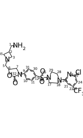 NCC1CN(CC2CN(c3ccc(S(=O)(=O)N4CCN(c5cc(C(F)(F)F)cc(Cl)n5)CC4)cc3)C(=O)O2)C1